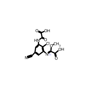 CO/C(=N\c1cc(C#N)cc(NC(=O)C(=O)O)c1Cl)C(=O)O